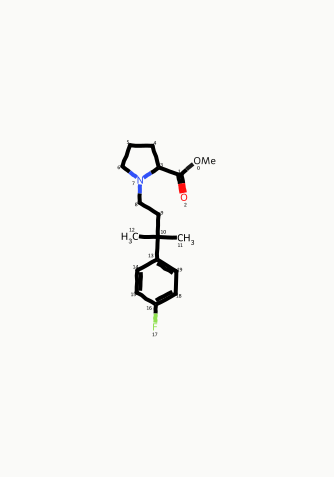 COC(=O)C1CCCN1CCC(C)(C)c1ccc(F)cc1